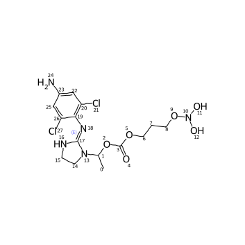 CC(OC(=O)OCCCON(O)O)N1CCN/C1=N\c1c(Cl)cc(N)cc1Cl